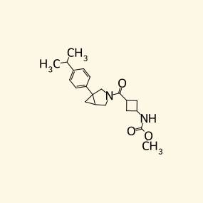 COC(=O)NC1CC(C(=O)N2CC3CC3(c3ccc(C(C)C)cc3)C2)C1